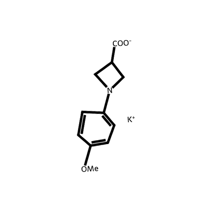 COc1ccc(N2CC(C(=O)[O-])C2)cc1.[K+]